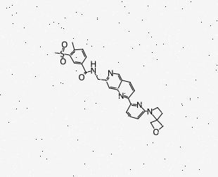 Cc1ccc(C(=O)NCc2cc3nc(-c4cccc(N5CCC56COC6)n4)ccc3cn2)cc1S(C)(=O)=O